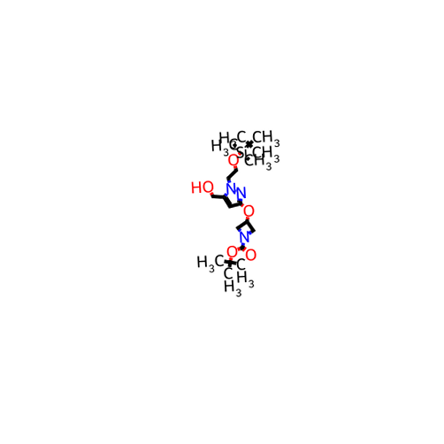 CC(C)(C)OC(=O)N1CC(Oc2cc(CO)n(CCO[Si](C)(C)C(C)(C)C)n2)C1